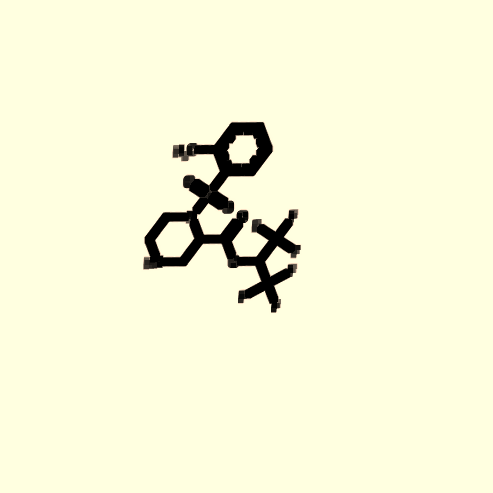 Cc1ccccc1S(=O)(=O)N1CCNCC1C(=O)OC(C(F)(F)F)C(F)(F)F